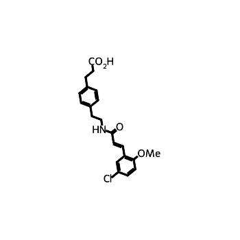 COc1ccc(Cl)cc1C=CC(=O)NCCc1ccc(CCC(=O)O)cc1